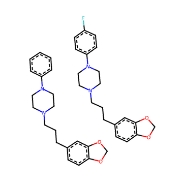 Fc1ccc(N2CCN(CCCc3ccc4c(c3)OCO4)CC2)cc1.c1ccc(N2CCN(CCCc3ccc4c(c3)OCO4)CC2)cc1